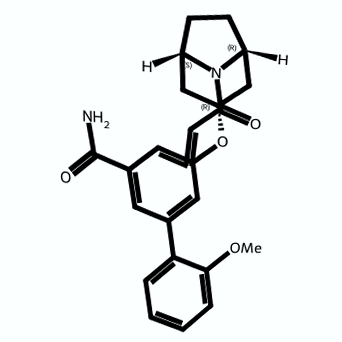 C=CC(=O)N1[C@@H]2CC[C@H]1C[C@@H](Oc1cc(C(N)=O)cc(-c3ccccc3OC)c1)C2